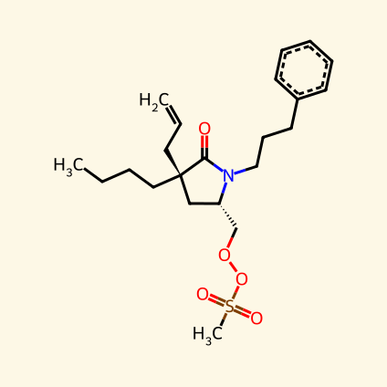 C=CC[C@]1(CCCC)C[C@@H](COOS(C)(=O)=O)N(CCCc2ccccc2)C1=O